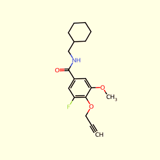 C#CCOc1c(F)cc(C(=O)NCC2CCCCC2)cc1OC